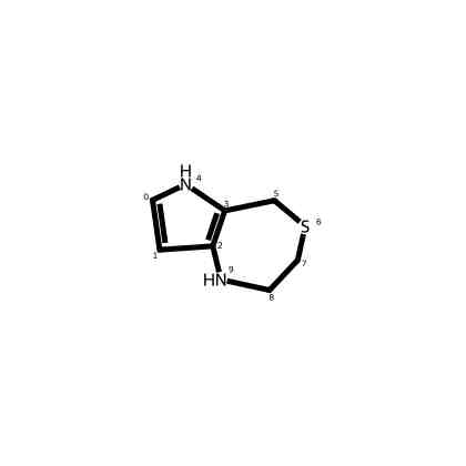 c1cc2c([nH]1)CSCCN2